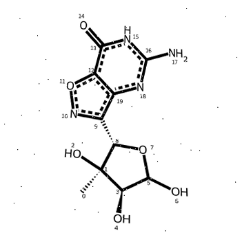 C[C@@]1(O)[C@H](O)C(O)O[C@H]1c1noc2c(=O)[nH]c(N)nc12